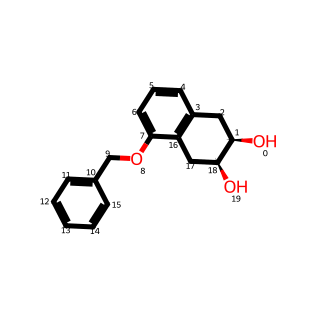 O[C@@H]1Cc2cccc(OCc3ccccc3)c2C[C@@H]1O